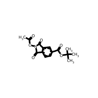 CC(=O)ON1C(=O)c2ccc(C(=O)OC(C)(C)C)cc2C1=O